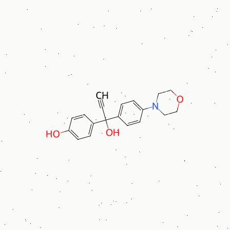 C#CC(O)(c1ccc(O)cc1)c1ccc(N2CCOCC2)cc1